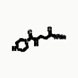 CNC(=O)CCNC(=O)N1CCNCC1